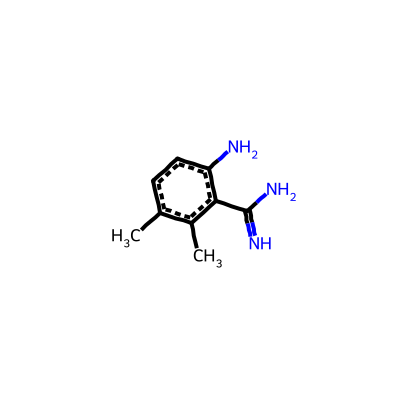 Cc1ccc(N)c(C(=N)N)c1C